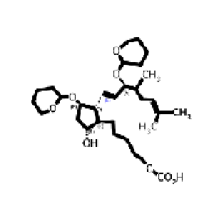 CC(C)=CCC(C)[C@@H](/C=C/[C@@H]1[C@@H](CCCCCCC(=O)O)[C@H](O)C[C@H]1OC1CCCCO1)OC1CCCCO1